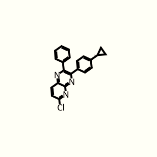 Clc1ccc2nc(-c3ccccc3)c(-c3ccc([C]4CC4)cc3)nc2n1